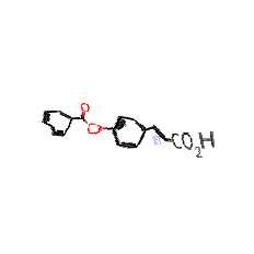 O=C(O)/C=C/c1ccc(OC(=O)c2ccccc2)cc1